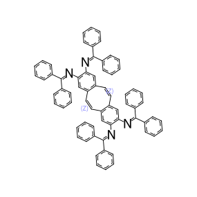 C1=C\c2cc(N=C(c3ccccc3)c3ccccc3)c(N=C(c3ccccc3)c3ccccc3)cc2/C=C\c2cc(N=C(c3ccccc3)c3ccccc3)c(N=C(c3ccccc3)c3ccccc3)cc2/1